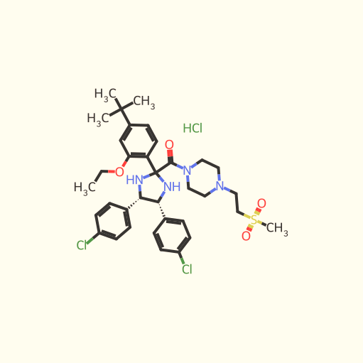 CCOc1cc(C(C)(C)C)ccc1C1(C(=O)N2CCN(CCS(C)(=O)=O)CC2)N[C@H](c2ccc(Cl)cc2)[C@H](c2ccc(Cl)cc2)N1.Cl